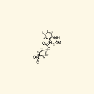 Cc1ccc2c(n1)N(C(=O)Oc1ccc([N+](=O)[O-])cc1)CC(=O)N2